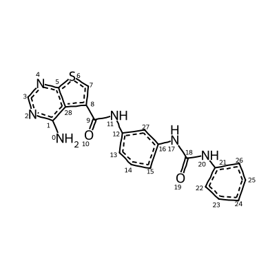 Nc1ncnc2scc(C(=O)Nc3cccc(NC(=O)Nc4ccccc4)c3)c12